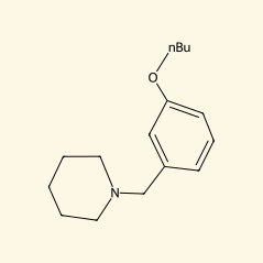 CCCCOc1cccc(CN2CCCCC2)c1